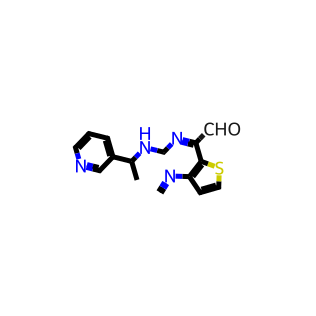 C=Nc1ccsc1/C(C=O)=N\CNC(C)c1cccnc1